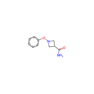 NC(=O)C1CN(Oc2ccccc2)C1